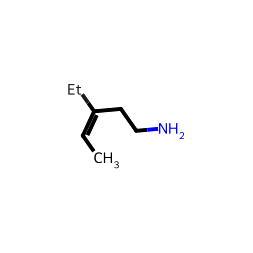 CC=C(CC)CCN